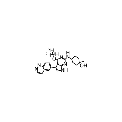 [2H]C([2H])([2H])Oc1nc(NC2CCC(C)(O)CC2)nc2[nH]cc(-c3ccc4nnccc4c3)c12